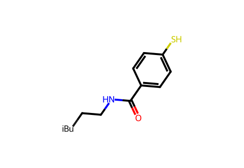 CCC(C)CCNC(=O)c1ccc(S)cc1